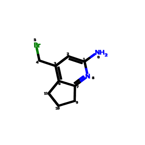 Nc1cc(CBr)c2c(n1)CCC2